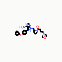 Nc1ncnc2c1c(-c1ccc(Oc3ccccc3)cc1)nn2CC1CCCN1C(=O)/C=C/CN1CCOCC1